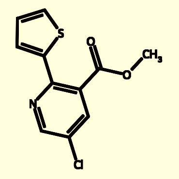 COC(=O)c1cc(Cl)cnc1-c1cccs1